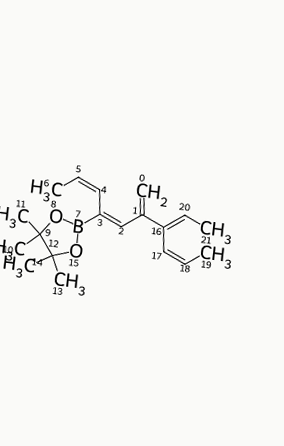 C=C(/C=C(\C=C/C)B1OC(C)(C)C(C)(C)O1)C(/C=C\C)=C/C